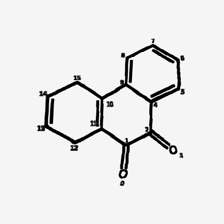 O=C1C(=O)c2ccccc2C2=C1CC=CC2